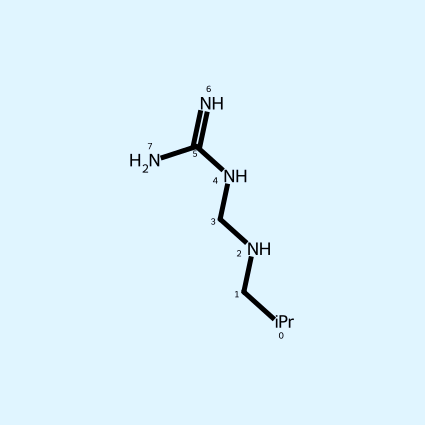 CC(C)CNCNC(=N)N